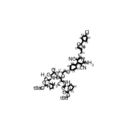 C[C@H](NC(=O)[C@@H]1CCCN1C(=O)OC(C)(C)C)C(=O)OC[C@H](COc1ccc(-c2c(C#N)c(N)nc(SCc3coc(-c4ccc(Cl)cc4)n3)c2C#N)cc1)OC(=O)[C@H](C)NC(=O)[C@@H]1CCCN1C(=O)OC(C)(C)C